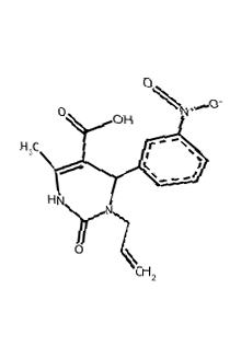 C=CCN1C(=O)NC(C)=C(C(=O)O)C1c1cccc([N+](=O)[O-])c1